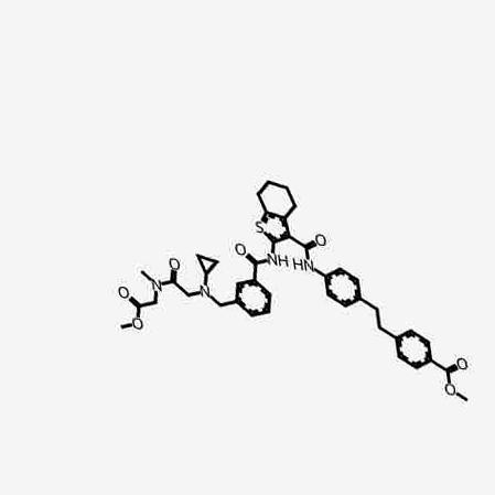 COC(=O)CN(C)C(=O)CN(Cc1cccc(C(=O)Nc2sc3c(c2C(=O)Nc2ccc(CCc4ccc(C(=O)OC)cc4)cc2)CCCC3)c1)C1CC1